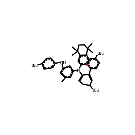 Cc1cc(Nc2ccc(C(C)(C)C)cc2)cc(N(C2=CCC(C(C)(C)C)C=C2c2ccc(C(C)(C)C)cc2)c2ccc3c(c2)C(C)(C)CCC3(C)C)c1